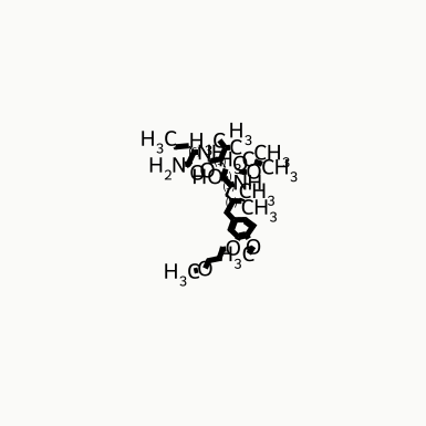 CCC[C@H](NC(=O)[C@@H](C[C@H](O)[C@H](C[C@H](Cc1ccc(OC)c(OCCCOC)c1)C(C)C)NC(=O)OC(C)(C)C)C(C)C)C(N)=O